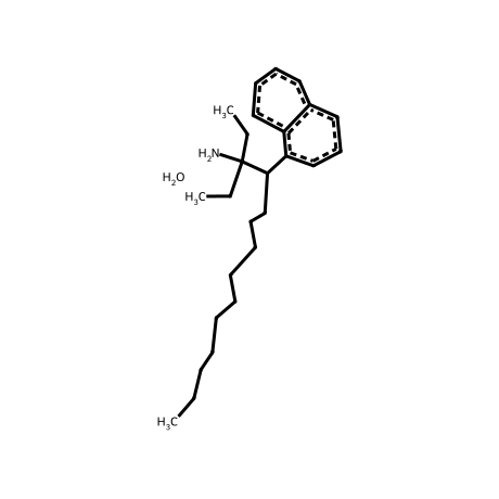 CCCCCCCCCCC(c1cccc2ccccc12)C(N)(CC)CC.O